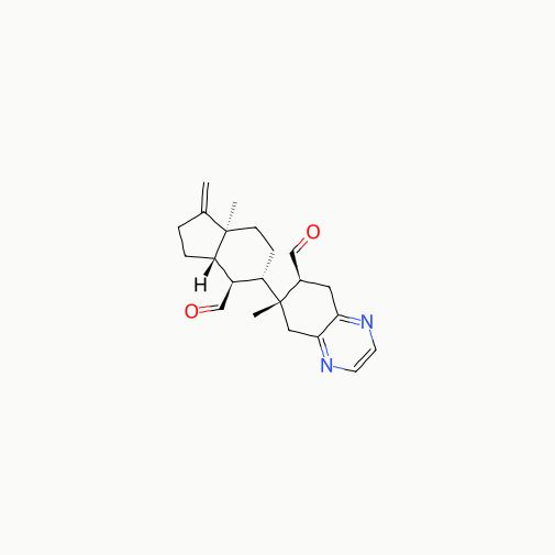 C=C1CC[C@H]2[C@H](C=O)[C@@H]([C@@]3(C)Cc4nccnc4C[C@@H]3C=O)CC[C@]12C